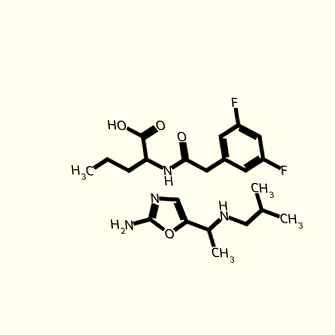 CC(C)CNC(C)c1cnc(N)o1.CCCC(NC(=O)Cc1cc(F)cc(F)c1)C(=O)O